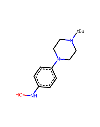 CC(C)(C)N1CCN(c2ccc(NO)cc2)CC1